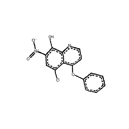 O=[N+]([O-])c1cc(Cl)c2c(Oc3ccccc3)ccnc2c1O